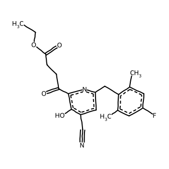 CCOC(=O)CCC(=O)c1nc(Cc2c(C)cc(F)cc2C)cc(C#N)c1O